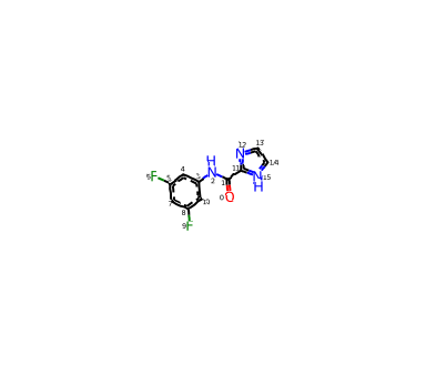 O=C(Nc1cc(F)cc(F)c1)c1ncc[nH]1